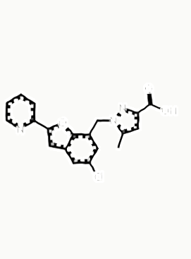 Cc1cc(C(=O)O)nn1Cc1cc(Cl)cc2cc(-c3ccccn3)oc12